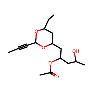 CC#CC1OC(CC)CC(CC(CC(C)O)OC(C)=O)O1